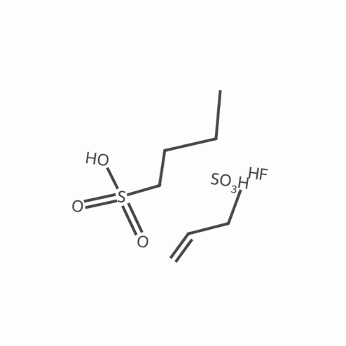 C=CCS(=O)(=O)O.CCCCS(=O)(=O)O.F